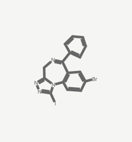 Brc1ccc2c(c1)C(c1ccccc1)=NCc1nnc(I)n1-2